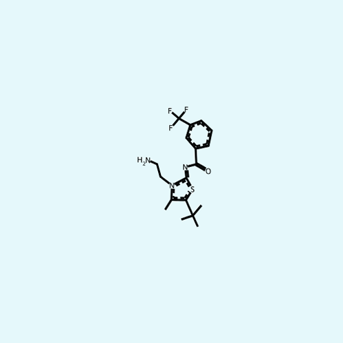 Cc1c(C(C)(C)C)s/c(=N\C(=O)c2cccc(C(F)(F)F)c2)n1CCN